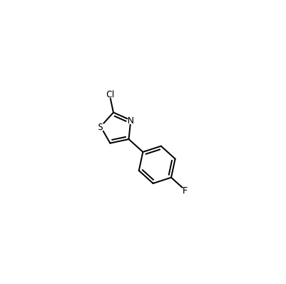 Fc1ccc(-c2csc(Cl)n2)cc1